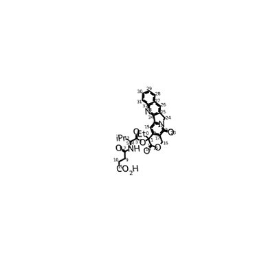 CCC1(OC(=O)[C@@H](NC(=O)CCC(=O)O)C(C)C)C(=O)OCc2c1cc1n(c2=O)Cc2cc3ccccc3nc2-1